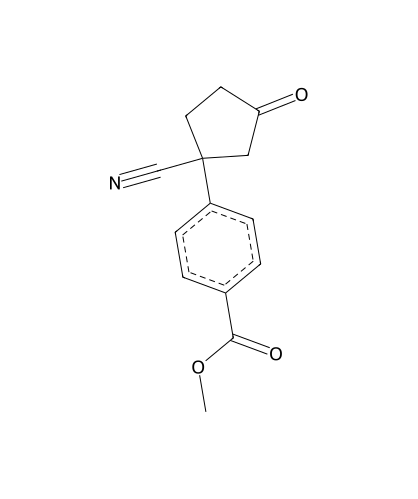 COC(=O)c1ccc(C2(C#N)CCC(=O)C2)cc1